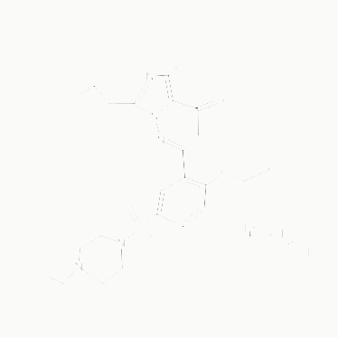 CCCc1nc(C)c2n1N=C(c1cc(S(=O)(=O)N3CCN(CC)CC3)ccc1OCC)CC2=O.Cl.O.O.O